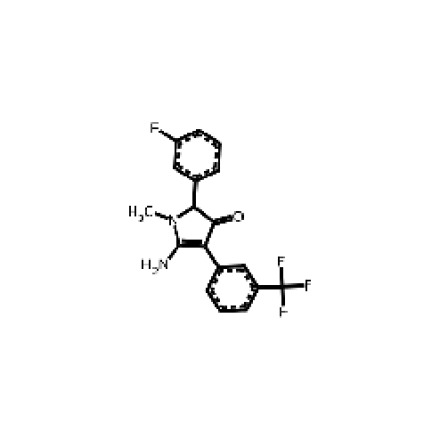 CN1C(N)=C(c2cccc(C(F)(F)F)c2)C(=O)C1c1cccc(F)c1